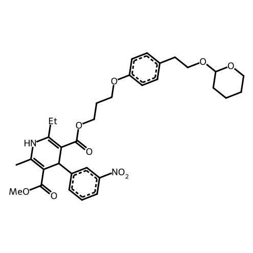 CCC1=C(C(=O)OCCCOc2ccc(CCOC3CCCCO3)cc2)C(c2cccc([N+](=O)[O-])c2)C(C(=O)OC)=C(C)N1